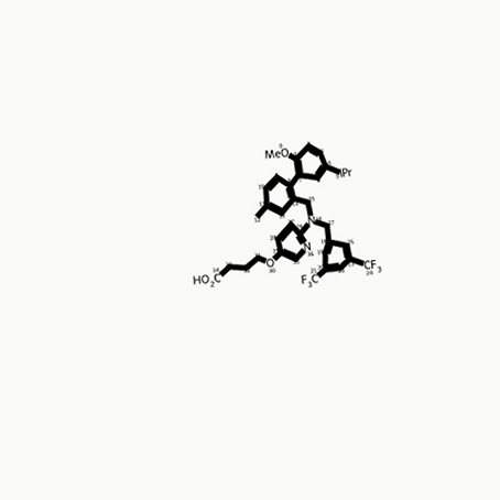 COc1ccc(C(C)C)cc1-c1ccc(C)cc1CN(Cc1cc(C(F)(F)F)cc(C(F)(F)F)c1)c1ccc(OCCCC(=O)O)cn1